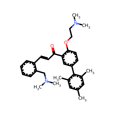 Cc1cc(C)c(-c2ccc(OCCN(C)C)c(C(=O)/C=C/c3ccccc3CN(C)C)c2)c(C)c1